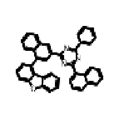 c1ccc(-c2nc(-c3cc(-c4cccc5oc6ccccc6c45)c4ccccc4c3)nc(-c3cccc4ccccc34)n2)cc1